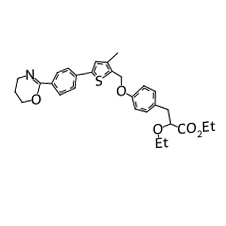 CCOC(=O)C(Cc1ccc(OCc2sc(-c3ccc(C4=NCCCO4)cc3)cc2C)cc1)OCC